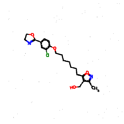 Cc1noc(CCCCCCCOc2ccc(C3=NCCO3)cc2Cl)c1CO